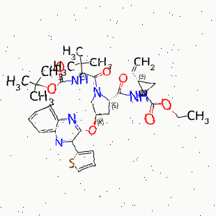 C=C[C@@H]1C[C@]1(NC(=O)[C@@H]1C[C@@H](Oc2nc3ccccc3nc2-c2cccs2)CN1C(=O)[C@@H](NC(=O)OC(C)(C)C)C(C)(C)C)C(=O)OCC